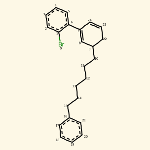 Brc1ccccc1C1=CC(CCCCCCc2ccccc2)CC=C1